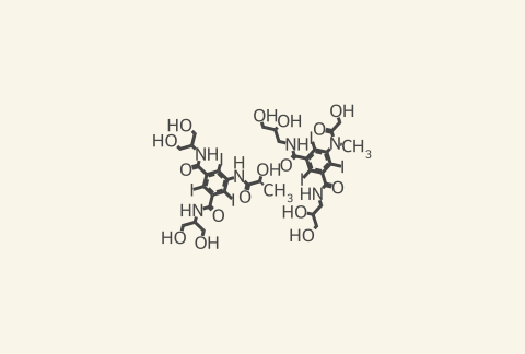 CN(C(=O)CO)c1c(I)c(C(=O)NCC(O)CO)c(I)c(C(=O)NCC(O)CO)c1I.C[C@H](O)C(=O)Nc1c(I)c(C(=O)NC(CO)CO)c(I)c(C(=O)NC(CO)CO)c1I